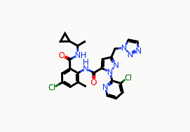 Cc1cc(Cl)cc(C(=O)NC(C)C2CC2)c1NC(=O)c1cc(Cn2ccnn2)nn1-c1ncccc1Cl